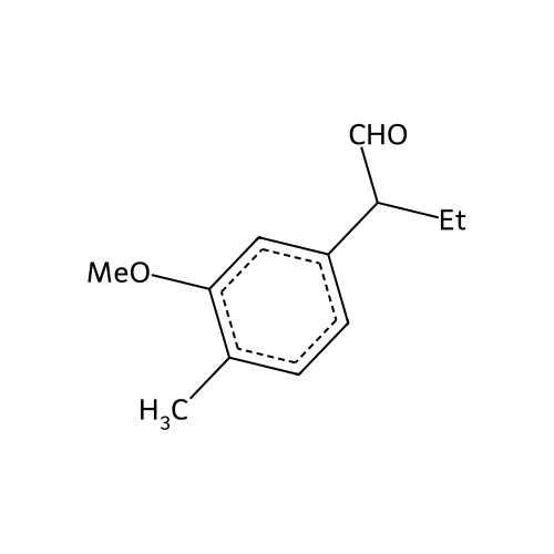 CCC(C=O)c1ccc(C)c(OC)c1